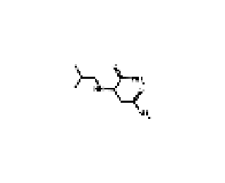 CC(C)CNC(CC(N)=O)C(N)=O